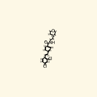 O=C(NCCN1CCOCC1)c1ccc(/C=C/c2ccc(Cl)cc2Cl)cc1